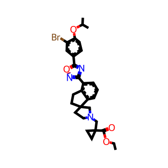 CCOC(=O)C1(CN2CCC3(CCc4c(-c5noc(-c6ccc(OC(C)C)c(Br)c6)n5)cccc43)C2)CC1